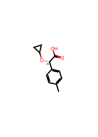 Cc1ccc([C@H](OC2CC2)C(=O)O)cc1